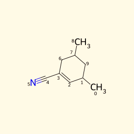 CC1C=C(C#N)CC(C)C1